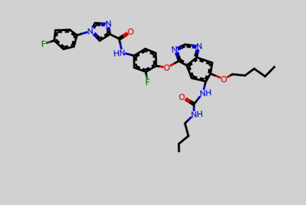 CCCCCOc1cc2ncnc(Oc3ccc(NC(=O)c4cn(-c5ccc(F)cc5)cn4)cc3F)c2cc1NC(=O)NCCCC